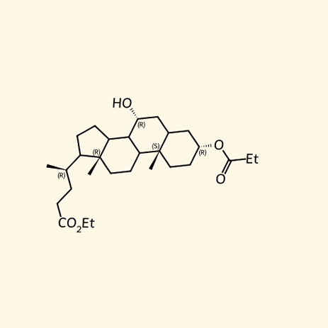 CCOC(=O)CC[C@@H](C)C1CCC2C3C(CC[C@@]21C)[C@@]1(C)CC[C@@H](OC(=O)CC)CC1C[C@H]3O